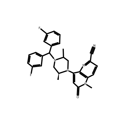 CC1CN(c2cc(=O)n(C)c3ccc(C#N)nc23)[C@@H](C)CN1C(c1cccc(F)c1)c1cccc(F)c1